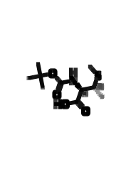 CS[C@H](C)[C@H](NC(=O)OC(C)(C)C)C(=O)O